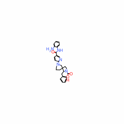 Nc1ccccc1NC(=O)c1ccc(N2CCCC3(CCN(C(=O)O)C3Cc3ccccc3)C2)nc1